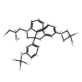 O[C@@H](CF)CN1CC(Cc2cccc(N3CC(F)(F)C3)c2)(c2cccc(OC(F)(F)F)c2)c2ccccc21